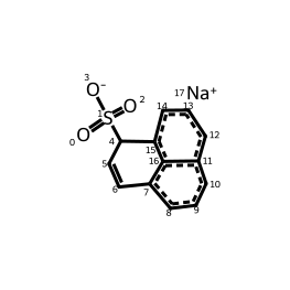 O=S(=O)([O-])C1C=Cc2cccc3cccc1c23.[Na+]